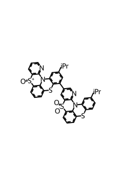 CC(C)c1ccc2c(c1)N1c3ncc(-c4cc(C(C)C)cc5c4Sc4cccc6c4N5c4ncccc4[S+]6[O-])cc3S(=O)(=O)c3cccc(c31)S2